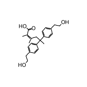 CC(CC(C)(c1ccc(CCO)cc1)c1ccc(CCO)cc1)=C(C)C(=O)O